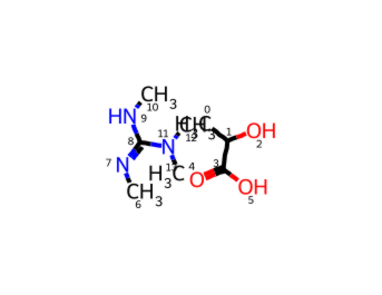 CC(O)C(=O)O.CN=C(NC)N(C)C